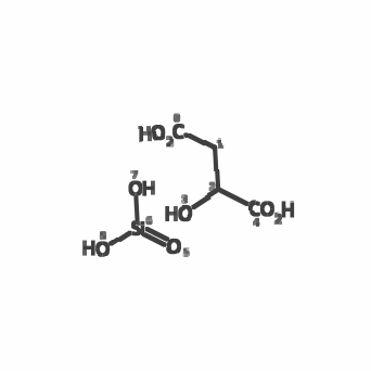 O=C(O)CC(O)C(=O)O.O=[Si](O)O